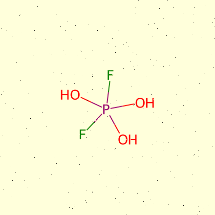 OP(O)(O)(F)F